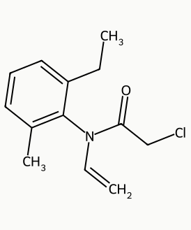 C=CN(C(=O)CCl)c1c(C)cccc1CC